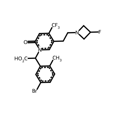 Cc1ccc(Br)cc1C(C(=O)O)n1cc(CCN2CC(F)C2)c(C(F)(F)F)cc1=O